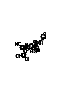 CN1CCN(CCNC(=O)N(OP(=O)(O)O)C2CCN(S(=O)(=O)c3cc(C#N)ccc3Oc3cc(Cl)cc(Cl)c3)CC2)CC1